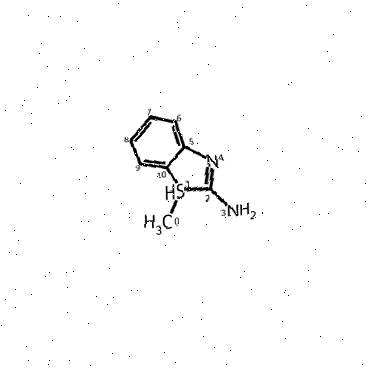 C[SH]1C(N)=Nc2ccccc21